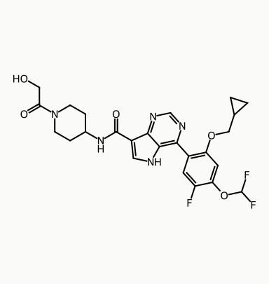 O=C(NC1CCN(C(=O)CO)CC1)c1c[nH]c2c(-c3cc(F)c(OC(F)F)cc3OCC3CC3)ncnc12